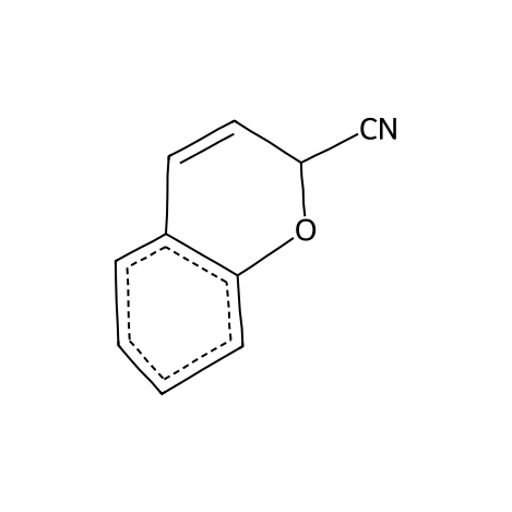 N#CC1C=Cc2ccccc2O1